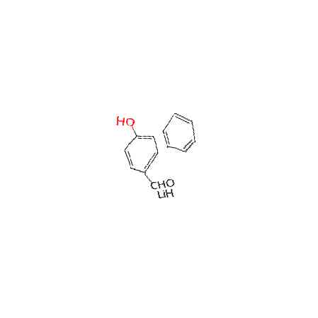 O=Cc1ccc(O)cc1.[LiH].c1ccccc1